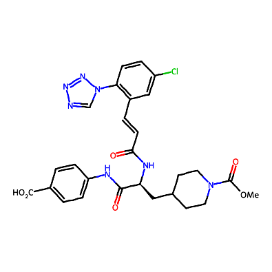 COC(=O)N1CCC(C[C@H](NC(=O)/C=C/c2cc(Cl)ccc2-n2cnnn2)C(=O)Nc2ccc(C(=O)O)cc2)CC1